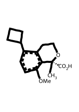 COc1ccc(C2CCC2)c2c1[C@@](C)(C(=O)O)OCC2